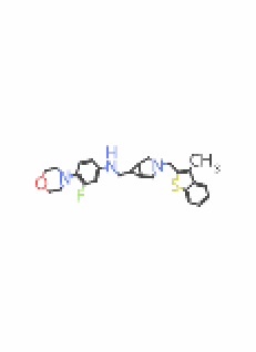 Cc1c(CN2CC3C(CNc4ccc(N5CCOCC5)c(F)c4)C3C2)sc2ccccc12